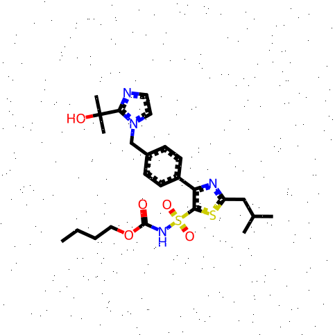 CCCCOC(=O)NS(=O)(=O)c1sc(CC(C)C)nc1-c1ccc(Cn2ccnc2C(C)(C)O)cc1